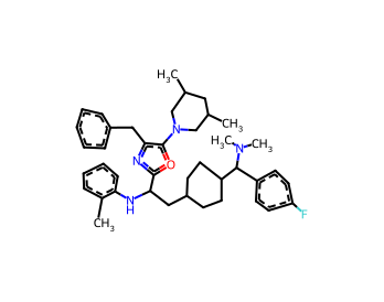 Cc1ccccc1NC(CC1CCC(C(c2ccc(F)cc2)N(C)C)CC1)c1nc(Cc2ccccc2)c(N2CC(C)CC(C)C2)o1